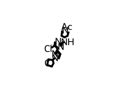 CC(=O)N1CCC(Nc2ncc(Cl)c(-c3ccn(C4CCCCC4)n3)n2)CC1